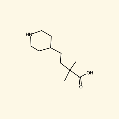 CC(C)(CCC1CCNCC1)C(=O)O